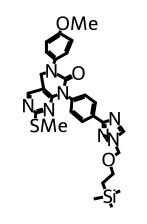 COc1ccc(N2Cc3cnc(SC)nc3N(c3ccc(-c4ncn(COCC[Si](C)(C)C)n4)cc3)C2=O)cc1